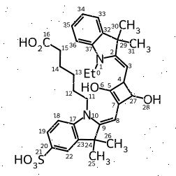 CCN1C(=CC2C(O)=C(C=C3N(CCCCCC(=O)O)c4ccc(S(=O)(=O)O)cc4C3(C)C)C2O)C(C)(C)c2ccccc21